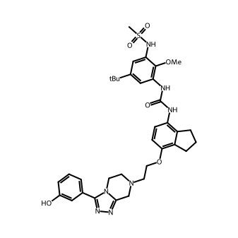 COc1c(NC(=O)Nc2ccc(OCCN3CCn4c(nnc4-c4cccc(O)c4)C3)c3c2CCC3)cc(C(C)(C)C)cc1NS(C)(=O)=O